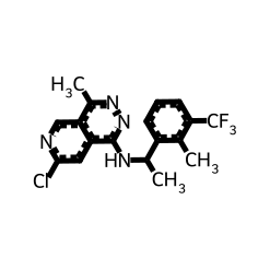 Cc1c(C(C)Nc2nnc(C)c3cnc(Cl)cc23)cccc1C(F)(F)F